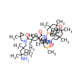 CCC(C)(C)CP(C)ON(C)CCC(C)(C)CC(C)(C)OC(C)(C)CC(C)(C)CP(C)NC(=O)C(C)(C)CC(C)(C)C(=O)N(CC(C)(C)CC(C)(C)N)CC1(C)CC1